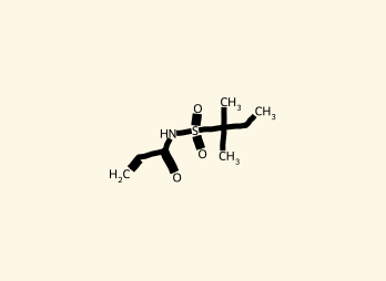 C=CC(=O)NS(=O)(=O)C(C)(C)CC